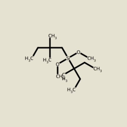 CCC(C)(C)C[Si](OC)(OC)C(C)(CC)CC